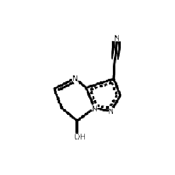 N#Cc1cnn2c1N=CCC2O